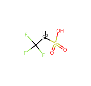 O=S(=O)(O)[SiH2]C(F)(F)F